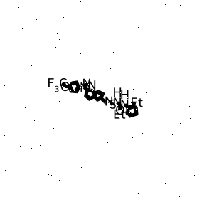 CCc1cccc(CC)c1NC(=O)NS/N=C/c1ccc2c(ccc3c2nnn3-c2ccc(OC(F)(F)F)cc2)c1